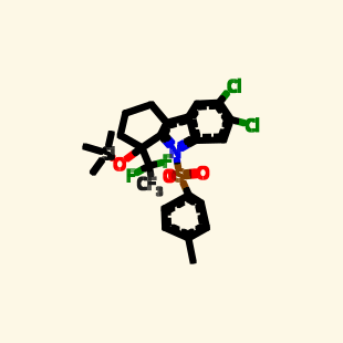 Cc1ccc(S(=O)(=O)n2c3c(c4cc(Cl)c(Cl)cc42)CCCC3(O[Si](C)(C)C)C(F)(F)C(F)(F)F)cc1